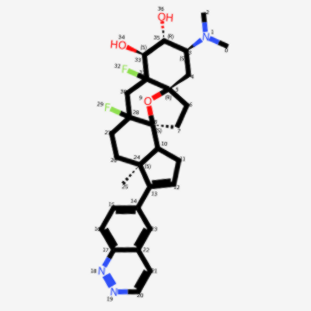 CN(C)[C@H]1C[C@@]23CC[C@]4(O2)C2CC=C(c5ccc6nnccc6c5)[C@@]2(C)CCC4(F)CC3(F)[C@@H](O)[C@@H]1O